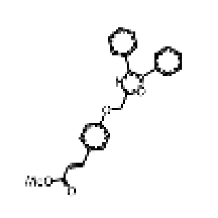 COC(=O)C=Cc1ccc(OCc2nc(-c3ccccc3)c(-c3ccccc3)o2)cc1